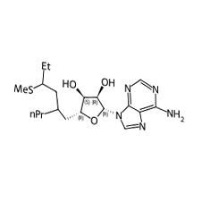 CCCC(CC(CC)SC)C[C@H]1O[C@@H](n2cnc3c(N)ncnc32)[C@H](O)[C@@H]1O